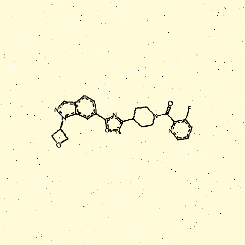 O=C(c1ncccc1F)N1CCC(c2noc(-c3ccc4cnn(C5COC5)c4c3)n2)CC1